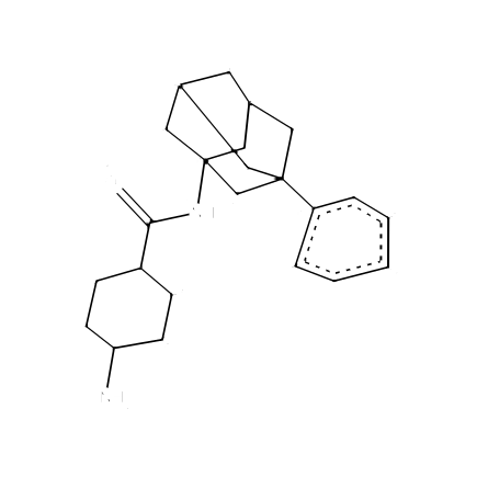 NC1CCC(C(=O)NC23CC4CC(C2)CC(c2ccccc2)(C4)C3)CC1